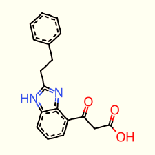 O=C(O)CC(=O)c1cccc2[nH]c(CCc3ccccc3)nc12